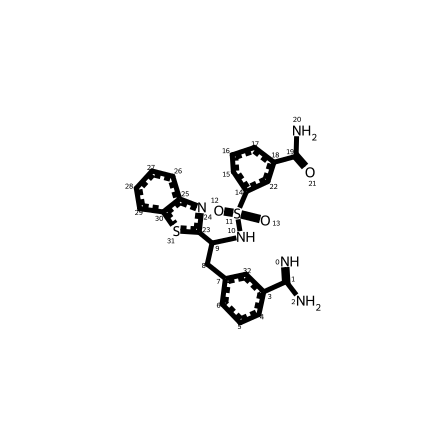 N=C(N)c1cccc(CC(NS(=O)(=O)c2cccc(C(N)=O)c2)c2nc3ccccc3s2)c1